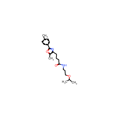 Cc1ccc(-c2nc(CCCC(=O)NCCCOC(C)C)c(C)o2)cc1